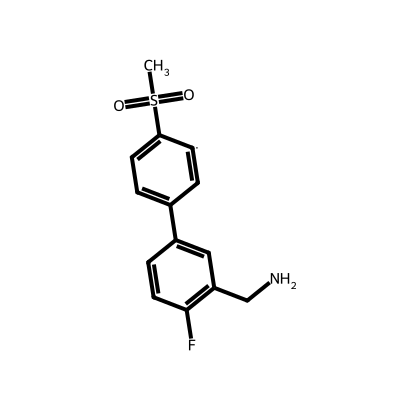 CS(=O)(=O)c1[c]cc(-c2ccc(F)c(CN)c2)cc1